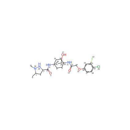 CC1CC(C(=O)NC23CCC(NC(=O)COc4ccc(Cl)c(F)c4)(CC2)C(O)C3)NN1C